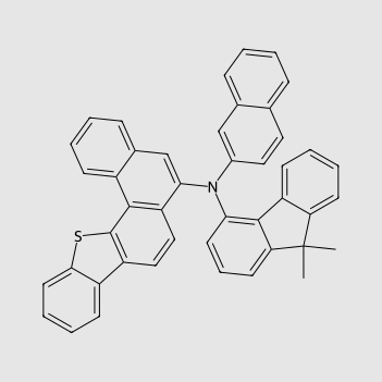 CC1(C)c2ccccc2-c2c(N(c3ccc4ccccc4c3)c3cc4ccccc4c4c3ccc3c5ccccc5sc34)cccc21